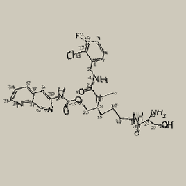 CN(C(=O)NCc1cccc(F)c1Cl)[C@@H](CCCNC(=O)[C@@H](N)CO)COC(=O)Nc1cc2cccnc2cn1